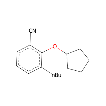 CCCCc1cccc(C#N)c1OC1CCCC1